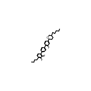 CCCCCC1CCC(c2ccc(-c3ccc(-c4ccc(CCCC)c(F)c4F)cc3)c(F)c2)OC1